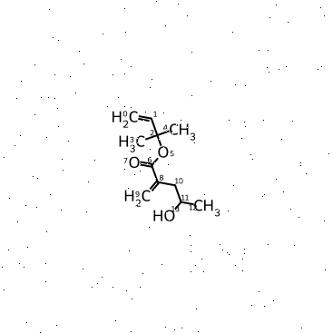 C=CC(C)(C)OC(=O)C(=C)CC(C)O